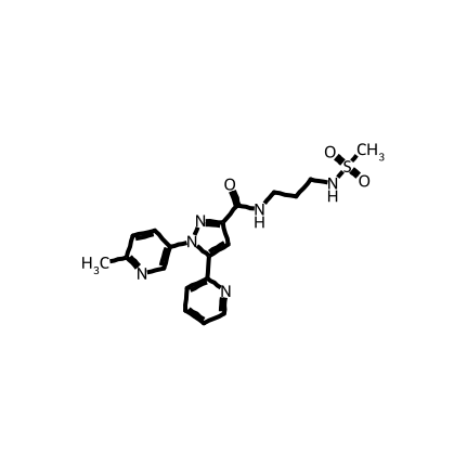 Cc1ccc(-n2nc(C(=O)NCCCNS(C)(=O)=O)cc2-c2ccccn2)cn1